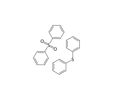 O=S(=O)(c1ccccc1)c1ccccc1.c1ccc(Sc2ccccc2)cc1